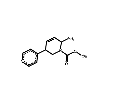 CC(C)(C)OC(=O)N1CC(c2ccncc2)C=CC1N